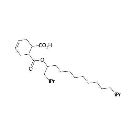 CC(C)CCCCCCCCCC(CC(C)C)OC(=O)C1CC=CCC1C(=O)O